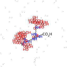 O=C(O)CCCCCNC(=O)CN(CC(=O)NCCCCCNC(=O)CN(CC(=O)N(CCO[C@H]1O[C@H](CO)[C@@H](O)[C@H](O)[C@@H]1O)CCO[C@H]1O[C@H](CO)[C@@H](O)[C@H](O)[C@@H]1O)CC(=O)N(CCO[C@H]1O[C@H](CO)[C@@H](O)[C@H](O)[C@@H]1O)CCO[C@H]1O[C@H](CO)[C@@H](O)[C@H](O)[C@@H]1O)CC(=O)NCCCCCC(=O)NCCO[C@H]1O[C@H](CO[C@H]2O[C@H](CO)[C@@H](O)[C@H](O)[C@@H]2O)[C@@H](O)[C@H](O[C@H]2O[C@H](CO)[C@@H](O)[C@H](O)[C@@H]2O)[C@@H]1O